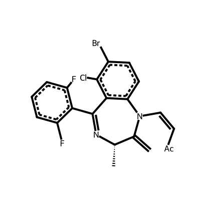 C=C1[C@H](C)N=C(c2c(F)cccc2F)c2c(ccc(Br)c2Cl)N1/C=C\C(C)=O